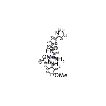 COC(=O)[C@H](Cc1ccc(OC)cc1)N(N)/C=C(\N)[C@H](C)NS(=O)(=O)c1ccc(-c2ccccn2)s1